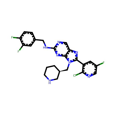 Fc1cnc(Cl)c(-c2nc3cnc(NCc4ccc(F)c(F)c4)nc3n2C[C@@H]2CCCNC2)c1